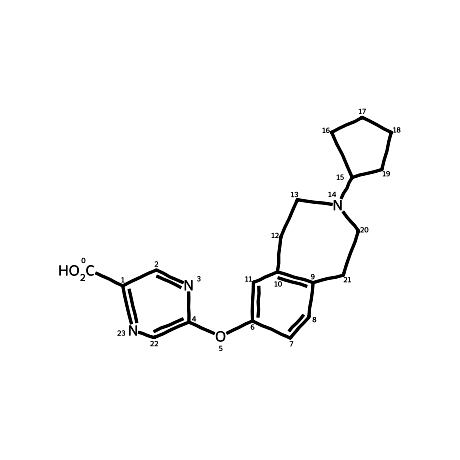 O=C(O)c1cnc(Oc2ccc3c(c2)CCN(C2CCCC2)CC3)cn1